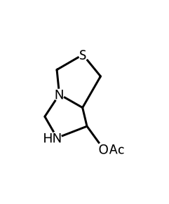 CC(=O)OC1NCN2CSCC12